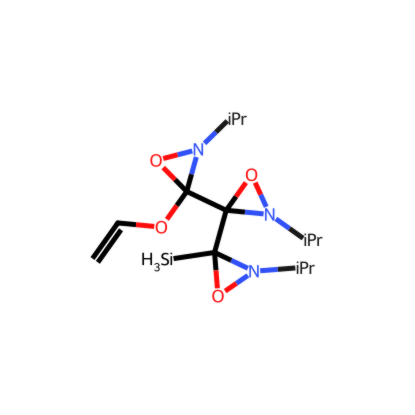 C=COC1(C2(C3([SiH3])ON3C(C)C)ON2C(C)C)ON1C(C)C